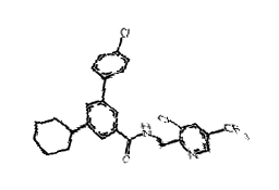 O=C(NCc1ncc(C(F)(F)F)cc1Cl)c1cc(-c2ccc(Cl)cc2)cc(C2CCCCC2)c1